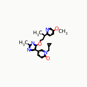 COc1ccc(C(C)CCOc2nc(C)ncc2-c2ccc(=O)n(CC3CC3)c2)nc1